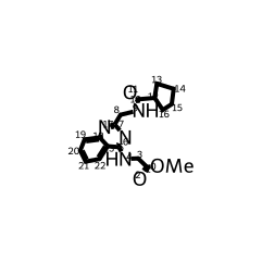 COC(=O)CNc1nc(CNC(=O)C2CCCC2)nc2ccccc12